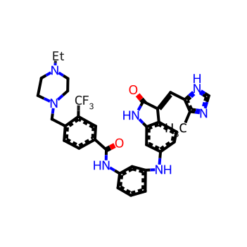 CCN1CCN(Cc2ccc(C(=O)Nc3cccc(Nc4ccc5c(c4)NC(=O)C5=Cc4[nH]cnc4C)c3)cc2C(F)(F)F)CC1